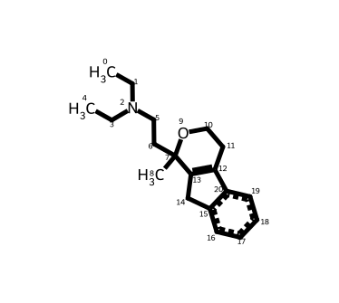 CCN(CC)CCC1(C)OCCC2=C1Cc1ccccc12